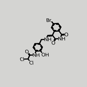 O=C1NC(=O)c2ccc(Br)cc2C1=CNCc1ccc(NC(=O)C(Cl)Cl)c(O)c1